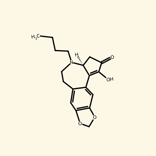 CCCCN1CCc2cc3c(cc2C2=C(O)C(=O)C[C@@H]21)OCO3